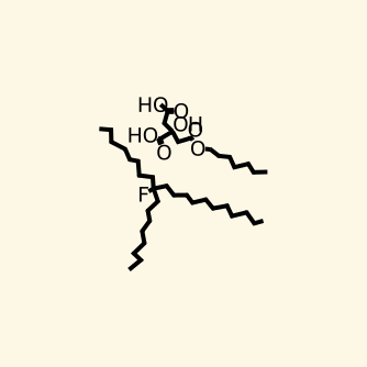 CCCCCCCCCCCC(F)(CCCCCCCC)CCCCCCCC.CCCCCCCOC(=O)CC(O)(CC(=O)O)C(=O)O